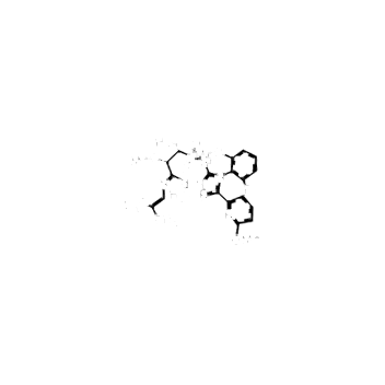 C=N/C(=N\C=C(C)C)[C@@H](OC)[C@H](C)S(=O)(=O)Nc1nnc(-c2cccc(OC)n2)n1-c1c(F)cccc1OC